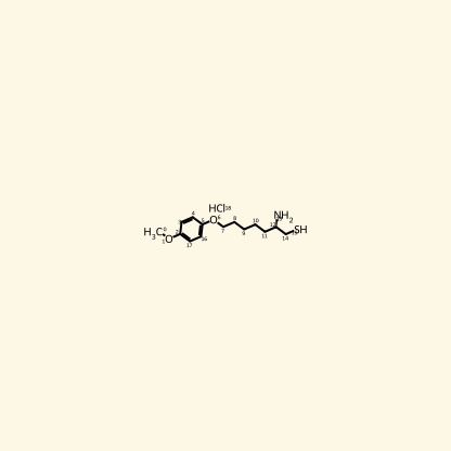 COc1ccc(OCCCCC[C@@H](N)CS)cc1.Cl